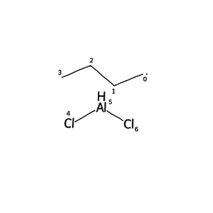 [CH2]CCC.[Cl][AlH][Cl]